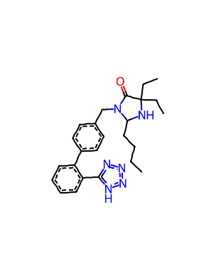 CCCCC1NC(CC)(CC)C(=O)N1Cc1ccc(-c2ccccc2-c2nnn[nH]2)cc1